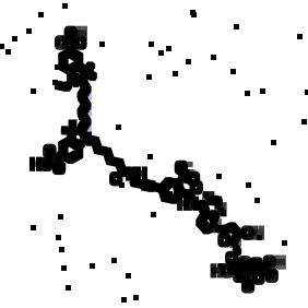 CC[N+]1=C(/C=C/C=C/C=C2/N(CCCCCC(=O)NCC#Cc3ccc(C(=O)Nc4ncnc5c4ccn5[C@H]4C[C@@H](O)[C@@H](COP(=O)(O)OP(=O)(O)OP(=O)(O)O)O4)c([N+](=O)[O-])c3)c3ccc(S(=O)(=O)O)cc3C2(C)C)C(C)(C)c2cc(S(=O)(=O)O)ccc21